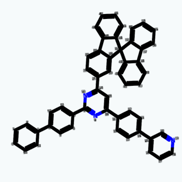 c1ccc(-c2ccc(-c3nc(-c4ccc(-c5cccnc5)cc4)cc(-c4ccc5c(c4)C4(c6ccccc6-c6ccccc64)c4ccccc4-5)n3)cc2)cc1